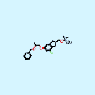 CC(COc1cc(F)c2c(c1)CC(CO[Si](C)(C)C(C)(C)C)C2)OCc1ccccc1